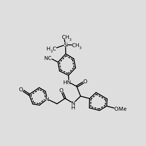 COc1ccc(C(NC(=O)Cn2ccc(=O)cc2)C(=O)Nc2ccc([Si](C)(C)C)c(C#N)c2)cc1